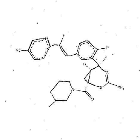 CC1CCCN(C(=O)[C@]23C[C@H]2[C@@](C)(c2cc(/C=C(\F)c4ccc(C#N)cn4)ccc2F)N=C(N)S3)C1